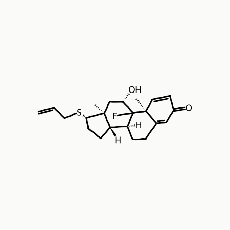 C=CCS[C@H]1CC[C@H]2[C@@H]3CCC4=CC(=O)C=C[C@]4(C)C3(F)[C@@H](O)C[C@]12C